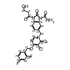 NC(=O)n1c(=O)n(C(=O)CCO)c2ccc(Cn3cnc(OCc4ccc(F)cc4F)c(Cl)c3=O)cc21